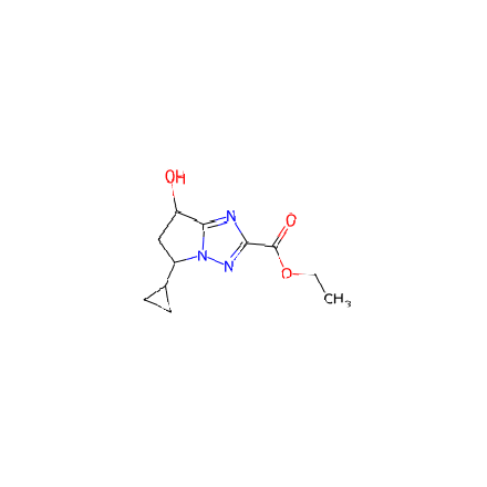 CCOC(=O)c1nc2n(n1)C(C1CC1)CC2O